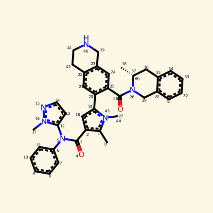 Cc1c(C(=O)N(c2ccccc2)c2ccnn2C)cc(-c2cc3c(cc2C(=O)N2Cc4ccccc4C[C@H]2C)CNCC3)n1C